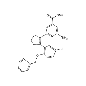 COC(=O)c1cc(N)cc(C2=C(c3cc(Cl)ccc3OCc3ccccc3)CCC2)c1